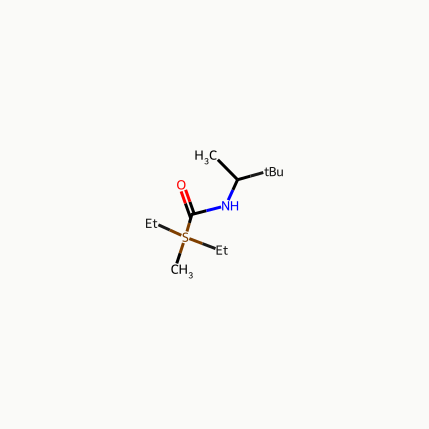 CCS(C)(CC)C(=O)NC(C)C(C)(C)C